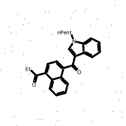 CCCCCn1cc(C(=O)c2ccc(C(=O)CC)c3ccccc23)c2ccccc21